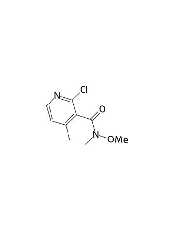 CON(C)C(=O)c1c(C)ccnc1Cl